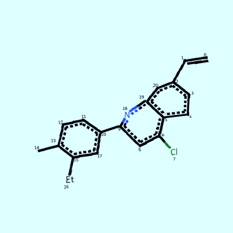 C=Cc1ccc2c(Cl)cc(-c3ccc(C)c(CC)c3)nc2c1